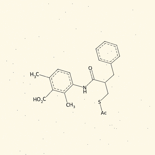 CC(=O)SCC(Cc1ccccc1)C(=O)Nc1ccc(C)c(C(=O)O)c1C